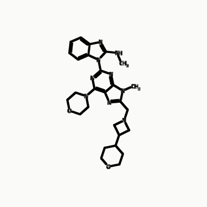 CNc1nc2ccccc2n1-c1nc(N2CCOCC2)c2nc(CN3CC(C4CCOCC4)C3)n(C)c2n1